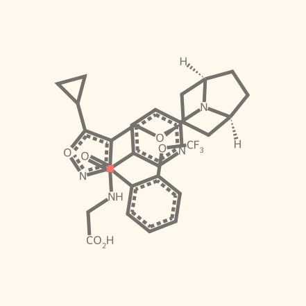 O=C(O)CNC(=O)c1ccc(N2[C@@H]3CC[C@H]2C[C@@H](OCc2c(-c4ccccc4OC(F)(F)F)noc2C2CC2)C3)nc1